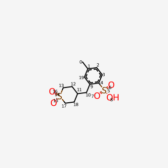 Cc1ccc(S(=O)(=O)O)c(CC2CCS(=O)(=O)CC2)c1